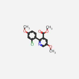 COC(=O)c1cc(OC)cnc1-c1ccc(OC)cc1Cl